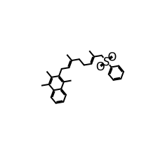 C/C(=C\Cc1c(C)c(C)c2ccccc2c1C)CC/C=C(\C)CS(=O)(=O)c1ccccc1